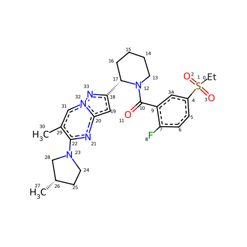 CCS(=O)(=O)c1ccc(F)c(C(=O)N2CCCC[C@H]2c2cc3nc(N4CC[C@H](C)C4)c(C)cn3n2)c1